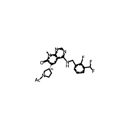 CC(=O)N1CC[C@@H](c2cc3c(NCc4cccc(C(F)F)c4F)ncnc3n(C)c2=O)C1